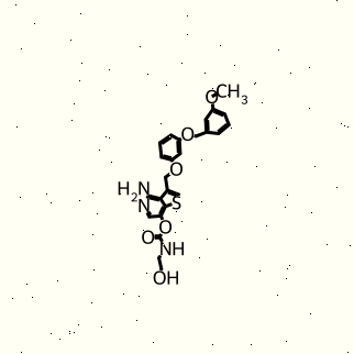 COc1cccc(COc2cccc(OCc3csc4c(OC(=O)NCCO)cnc(N)c34)c2)c1